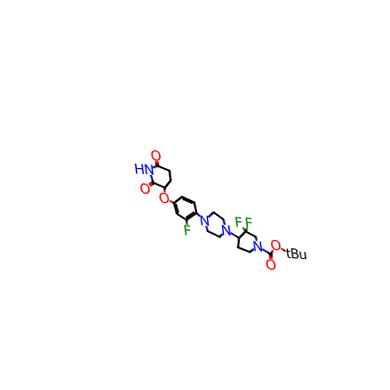 CC(C)(C)OC(=O)N1CCC(N2CCN(c3ccc(OC4CCC(=O)NC4=O)cc3F)CC2)C(F)(F)C1